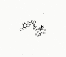 CC(C)(Oc1ccc(Cl)cc1)C(=O)NCCC1C[C@@H]2CC[C@@](N)(C1)C2